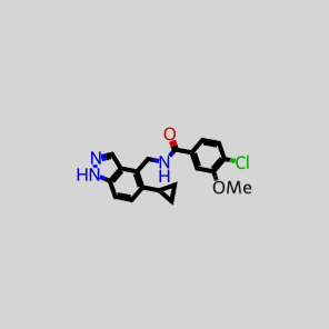 COc1cc(C(=O)NCc2c(C3CC3)ccc3[nH]ncc23)ccc1Cl